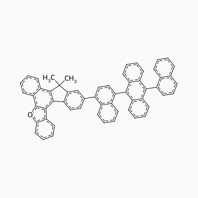 CC1(C)c2cc(-c3ccc(-c4c5ccccc5c(-c5cccc6ccccc56)c5ccccc45)c4ccccc34)ccc2-c2c1c1ccccc1c1oc3ccccc3c21